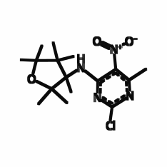 Cc1nc(Cl)nc(NC2(C)C(C)(C)OC(C)(C)C2(C)C)c1[N+](=O)[O-]